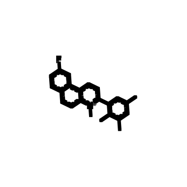 Cc1cc(C)c(C)c(-c2ccc3c4cc(F)ccc4ccc3[n+]2C)c1